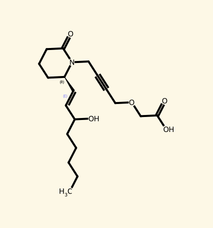 CCCCCC(O)/C=C/[C@H]1CCCC(=O)N1CC#CCOCC(=O)O